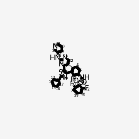 O=S(=O)(Nc1cccc(-c2nc(-c3ccccc3)sc2-c2ccnc(Nc3cccnc3)n2)c1F)c1c(F)cccc1F